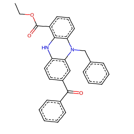 CCOC(=O)c1cccc2c1Nc1ccc(C(=O)c3ccccc3)cc1N2Cc1ccccc1